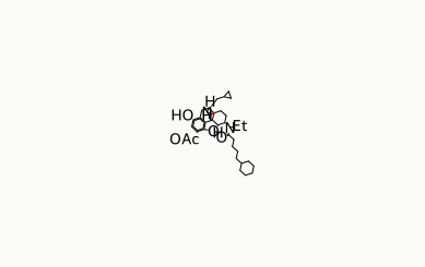 CCN(C(=O)CCCCC1CCCCC1)[C@H]1CC[C@H]2[C@H]3Cc4c(O)cc(OC(C)=O)c5c4[C@@]2(CCN3CC2CC2)[C@H]1O5